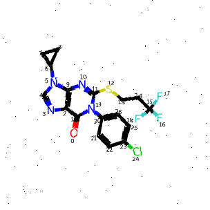 O=c1c2ncn(C3CC3)c2nc(SCCC(F)(F)F)n1-c1ccc(Cl)cc1